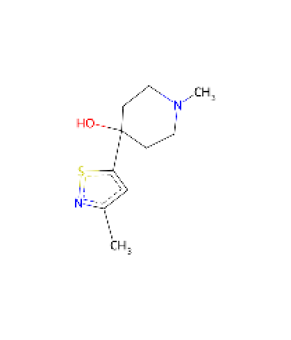 Cc1cc(C2(O)CCN(C)CC2)sn1